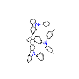 Cc1ccc(N(c2ccc(C)cc2)c2ccc(-c3c(-c4ccc5c(c4)c4ccccc4n5-c4ccccc4)cccc3-c3ccc4c(c3)c3ccccc3n4-c3ccccc3)c(C)c2)cc1